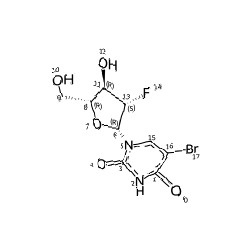 O=c1[nH]c(=O)n([C@@H]2O[C@H](CO)[C@@H](O)[C@@H]2F)cc1Br